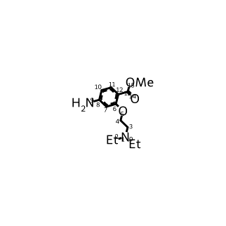 CCN(CC)CCOc1cc(N)ccc1C(=O)OC